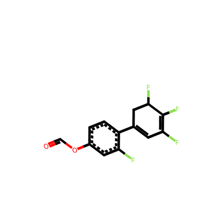 O=COc1ccc(C2=CC(F)=C(F)C(F)C2)c(F)c1